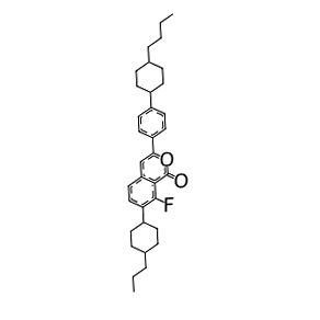 CCCCC1CCC(c2ccc(-c3cc4ccc(C5CCC(CCC)CC5)c(F)c4c(=O)o3)cc2)CC1